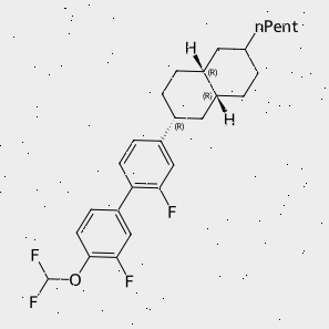 CCCCCC1CC[C@@H]2C[C@H](c3ccc(-c4ccc(OC(F)F)c(F)c4)c(F)c3)CC[C@@H]2C1